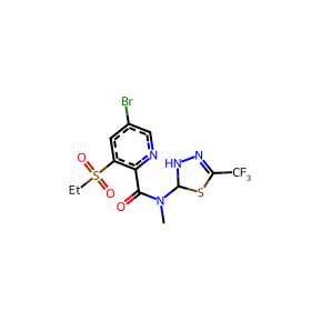 CCS(=O)(=O)c1cc(Br)cnc1C(=O)N(C)C1NN=C(C(F)(F)F)S1